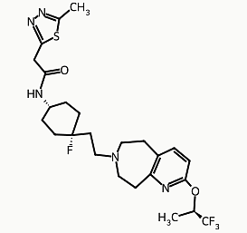 Cc1nnc(CC(=O)N[C@H]2CC[C@](F)(CCN3CCc4ccc(O[C@H](C)C(F)(F)F)nc4CC3)CC2)s1